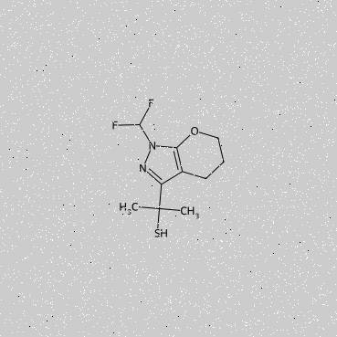 CC(C)(S)c1nn(C(F)F)c2c1CCCO2